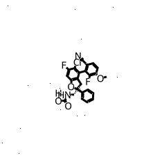 COc1ccc(C#N)c(-c2c(Cl)c(F)cc3c2C[C@@](CNC(=O)O)(c2ccccc2)O3)c1F